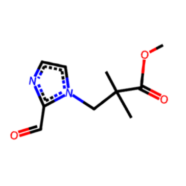 COC(=O)C(C)(C)Cn1ccnc1C=O